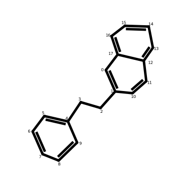 [c]1c(CCc2ccccc2)ccc2ccccc12